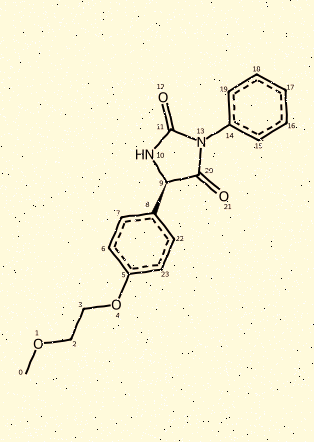 COCCOc1ccc([C@H]2NC(=O)N(c3[c]cccc3)C2=O)cc1